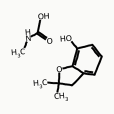 CC1(C)Cc2cccc(O)c2O1.CNC(=O)O